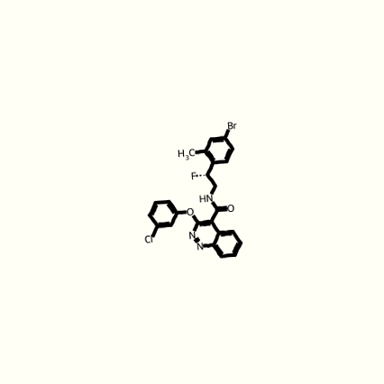 Cc1cc(Br)ccc1[C@@H](F)CNC(=O)c1c(Oc2cccc(Cl)c2)nnc2ccccc12